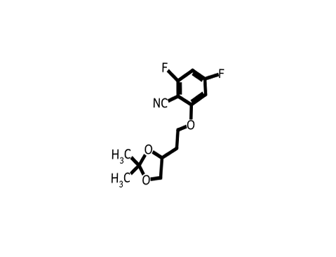 CC1(C)OCC(CCOc2cc(F)cc(F)c2C#N)O1